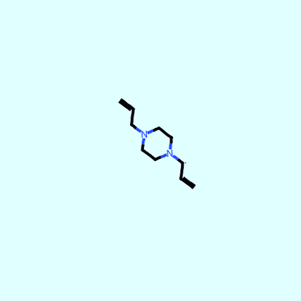 C=C[CH]N1CCN(CC=C)CC1